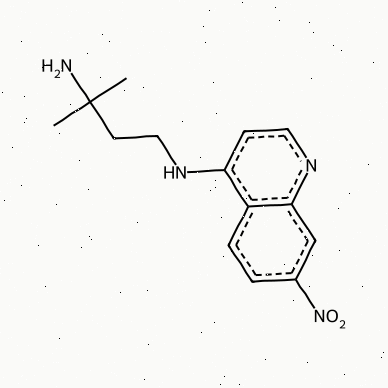 CC(C)(N)CCNc1ccnc2cc([N+](=O)[O-])ccc12